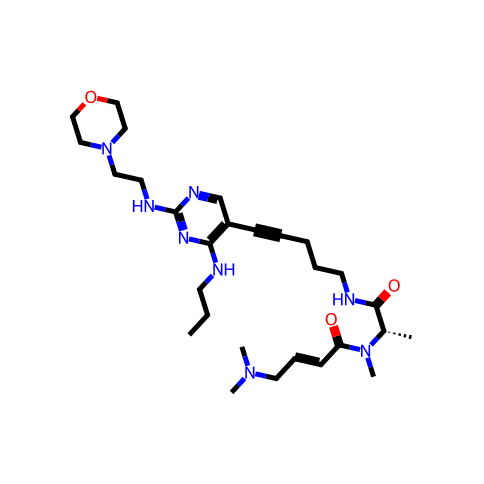 CCCNc1nc(NCCN2CCOCC2)ncc1C#CCCCNC(=O)[C@H](C)N(C)C(=O)C=CCN(C)C